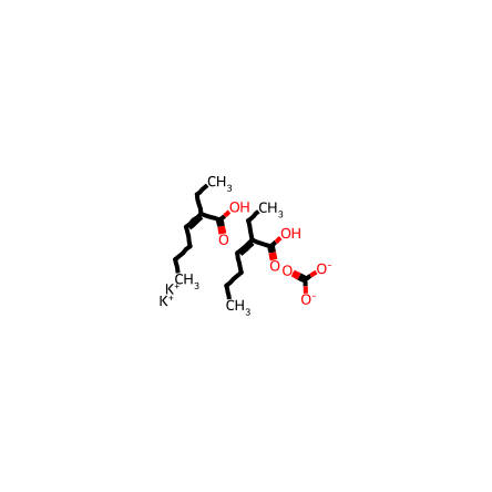 CCCC=C(CC)C(=O)O.CCCC=C(CC)C(=O)O.O=C([O-])[O-].[K+].[K+]